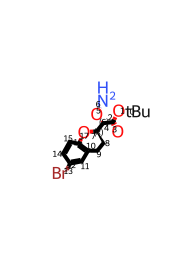 CC(C)(C)OC(=O)[C@@H](ON)[C@H]1CCc2cc(Br)ccc2O1